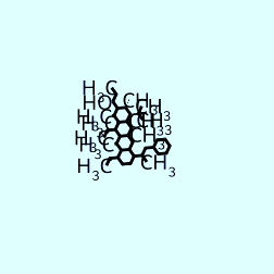 CCC(O)C1C(C)C2(C)C(CC)C3C(C)C4C(CC)CCC(C(C)CC5CCCCC5)C4C[C@]3(C)CC2(C)[C@@H](C(C)C)[C@H]1C